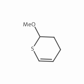 COC1CCC=CS1